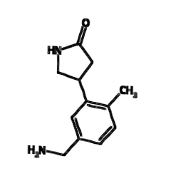 Cc1ccc(CN)cc1C1CNC(=O)C1